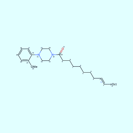 CCCCCCCC/C=C/CCCCCCCC(=O)N1CCN(c2ccccc2OC)CC1